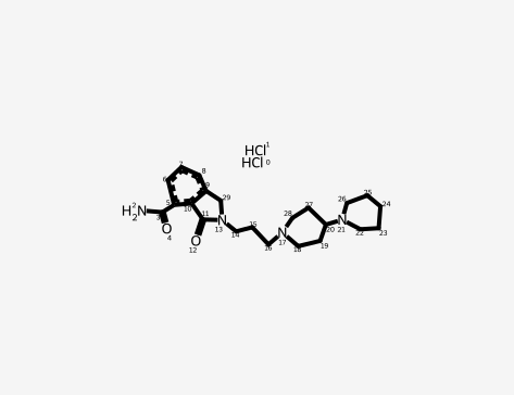 Cl.Cl.NC(=O)c1cccc2c1C(=O)N(CCCN1CCC(N3CCCCC3)CC1)C2